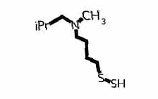 CC(C)CN(C)CCCCSS